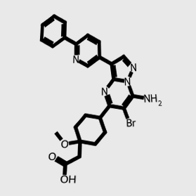 COC1(CC(=O)O)CCC(c2nc3c(-c4ccc(-c5ccccc5)nc4)cnn3c(N)c2Br)CC1